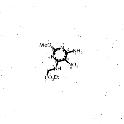 CCOC(=O)CNc1nc(OC)nc(N)c1[N+](=O)[O-]